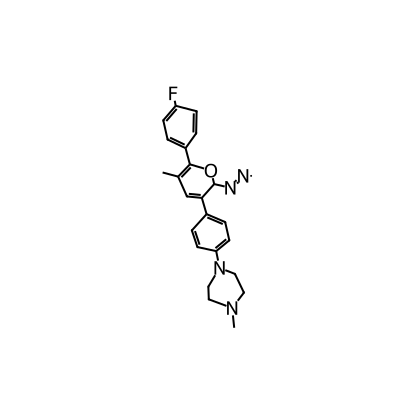 CC1=C(c2ccc(F)cc2)OC(N=[N])C(c2ccc(N3CCN(C)CC3)cc2)=C1